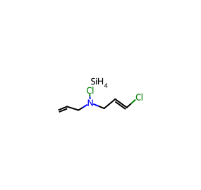 C=CCN(Cl)CC=CCl.[SiH4]